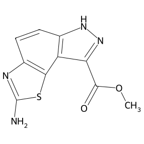 COC(=O)c1n[nH]c2ccc3nc(N)sc3c12